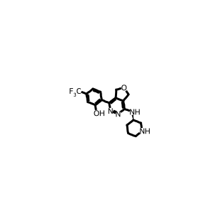 Oc1cc(C(F)(F)F)ccc1-c1nnc(N[C@@H]2CCCNC2)c2c1COC2